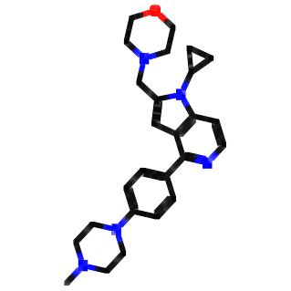 CN1CCN(c2ccc(-c3nccc4c3cc(CN3CCOCC3)n4C3CC3)cc2)CC1